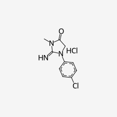 CN1C(=N)N(c2ccc(Cl)cc2)CC1=O.Cl